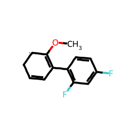 COC1=C(c2ccc(F)cc2F)C=CC[CH]1